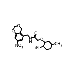 CC1CCC(C(C)C)C(OCC(=O)NCc2cc([N+](=O)[O-])cc3c2COCO3)C1